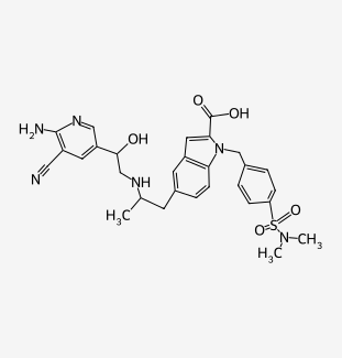 CC(Cc1ccc2c(c1)cc(C(=O)O)n2Cc1ccc(S(=O)(=O)N(C)C)cc1)NCC(O)c1cnc(N)c(C#N)c1